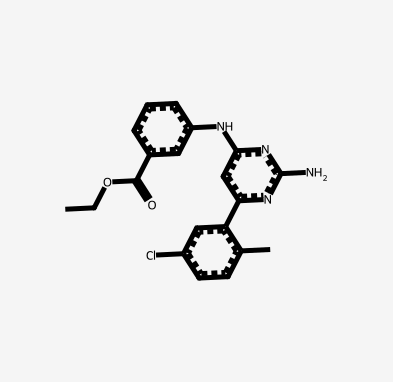 CCOC(=O)c1cccc(Nc2cc(-c3cc(Cl)ccc3C)nc(N)n2)c1